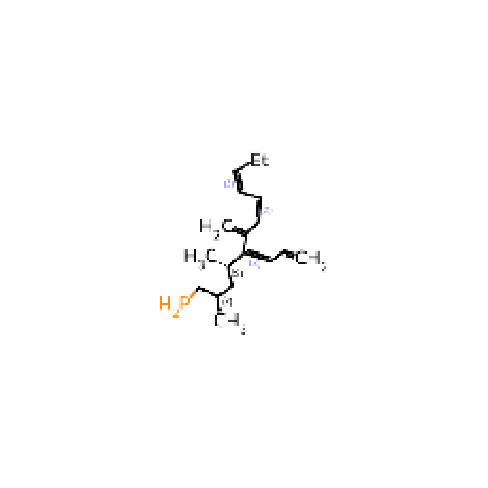 C=C/C=C(\C(=C)/C=C\C=C/CC)[C@@H](C)C[C@@H](C)CP